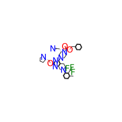 Cc1cccc(N2CCc3c(nc(OC[C@@H]4CCCN4C)nc3N3CCN(C(=O)OCc4ccccc4)[C@@H](CC#N)C3)C2)c1C(F)(F)F